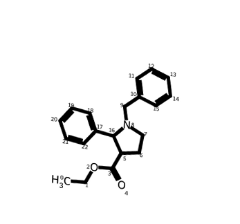 CCOC(=O)C1CCN(Cc2ccccc2)C1c1ccccc1